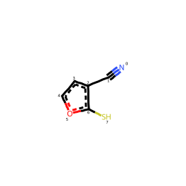 N#Cc1ccoc1S